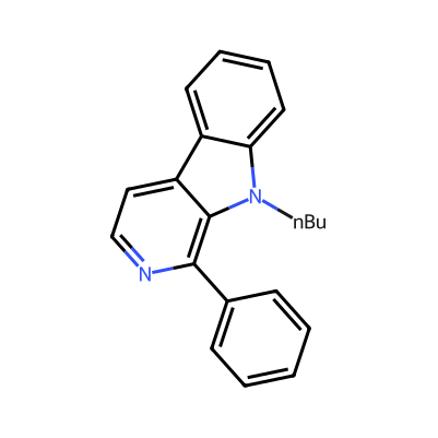 CCCCn1c2ccccc2c2ccnc(-c3ccccc3)c21